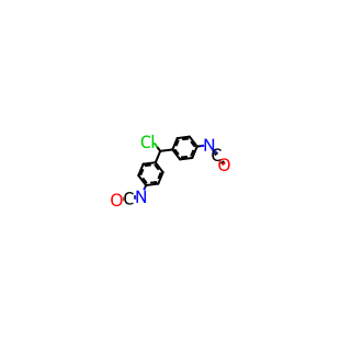 O=C=Nc1ccc(C(Cl)c2ccc(N=C=O)cc2)cc1